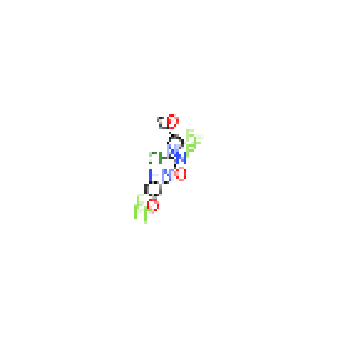 O=C(NCc1cccc(OC(F)(F)F)c1)c1nc2c(C(F)(F)F)cc(-c3ccco3)cn2c1Cl